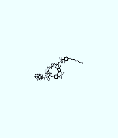 CCCCCCCCc1ccc(C(=O)NCC(=O)N(C)C2C(=O)N[C@@H](C)C(=O)NC(C(=O)N[C@@H](C)B3O[C@@H]4CC5CC(C5(C)C)[C@]4(C)O3)Cc3ccc(OC)c(c3)-c3cc2ccc3OC)cc1